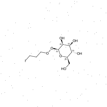 OC[C@H]1O[C@@H](OOCCCI)[C@@H](O)[C@@H](O)[C@@H]1O